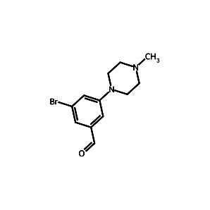 CN1CCN(c2cc(Br)cc(C=O)c2)CC1